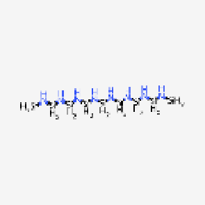 [SiH3]N[SiH2]N[SiH2]N[SiH2]N[SiH2]N[SiH2]N[SiH2]N[SiH2]N[SiH3]